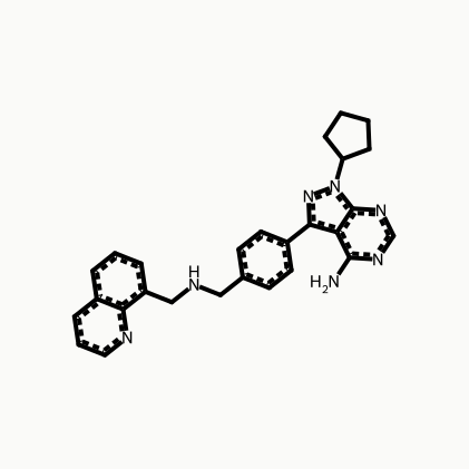 Nc1ncnc2c1c(-c1ccc(CNCc3cccc4cccnc34)cc1)nn2C1CCCC1